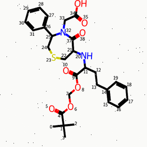 CC(C)(C)C(=O)OCOC(=O)C(CCc1ccccc1)NC1CSCC(c2ccccc2)N(CC(=O)O)C1=O